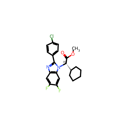 COC(=O)[C@H](C1CCCCC1)n1c(-c2ccc(Cl)cc2)nc2cc(F)c(F)cc21